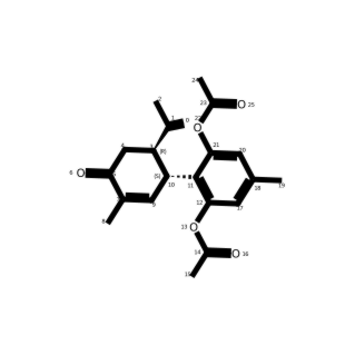 C=C(C)[C@@H]1CC(=O)C(C)=C[C@H]1c1c(OC(C)=O)cc(C)cc1OC(C)=O